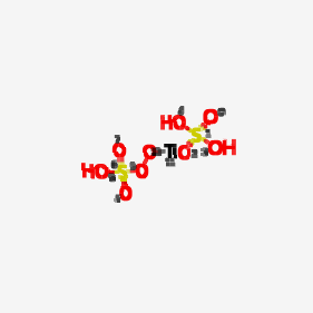 O=S(=O)(O)O.O=S(=O)(O)O[O][Ti]